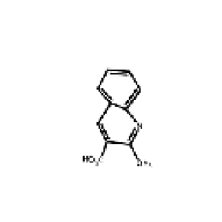 CC(=O)Oc1nc2ccccc2cc1C(=O)O